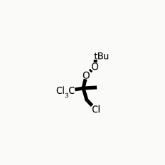 CC(C)(C)OOC(C)(CCl)C(Cl)(Cl)Cl